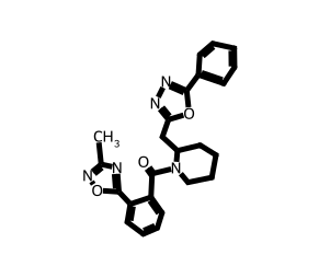 Cc1noc(-c2ccccc2C(=O)N2CCCCC2Cc2nnc(-c3ccccc3)o2)n1